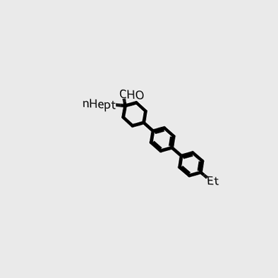 CCCCCCCC1(C=O)CCC(c2ccc(-c3ccc(CC)cc3)cc2)CC1